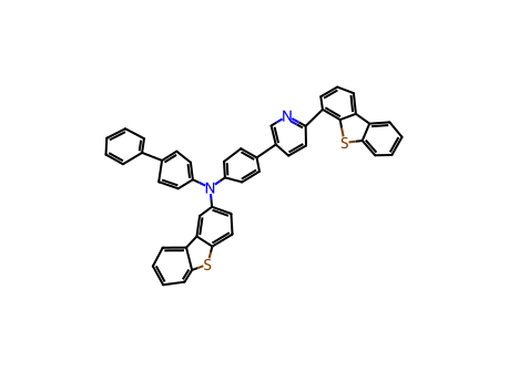 c1ccc(-c2ccc(N(c3ccc(-c4ccc(-c5cccc6c5sc5ccccc56)nc4)cc3)c3ccc4sc5ccccc5c4c3)cc2)cc1